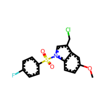 COc1ccc2c(c1)c(CCl)cn2S(=O)(=O)c1ccc(F)cc1